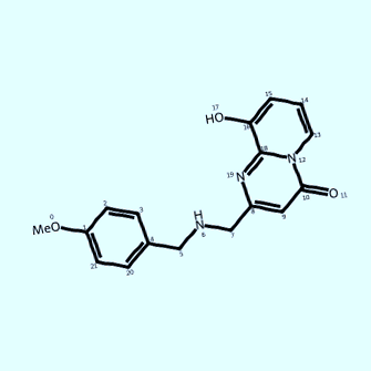 COc1ccc(CNCc2cc(=O)n3cccc(O)c3n2)cc1